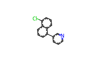 Clc1cccc2c(-c3cccnc3)cccc12